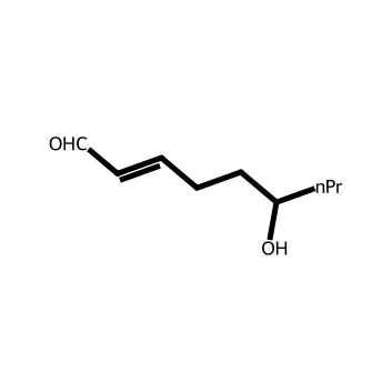 CCCC(O)CCC=CC=O